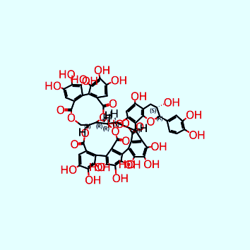 O=C1OC[C@H]2OC(=O)c3cc(O)c(O)c(O)c3-c3c(O)c(O)c(O)c4c3C(=O)O[C@H]([C@H]3OC(=O)c5c-4c(O)c(O)c(O)c5[C@H]3c3c(O)cc(O)c4c3O[C@H](c3ccc(O)c(O)c3)[C@@H](O)C4)[C@@H]2OC(=O)c2cc(O)c(O)c(O)c2-c2c1cc(O)c(O)c2O